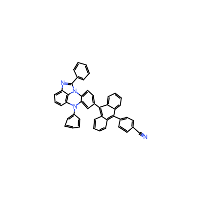 N#Cc1ccc(-c2c3ccccc3c(-c3ccc4c(c3)N(c3ccccc3)c3cccc5nc(-c6ccccc6)n-4c35)c3ccccc23)cc1